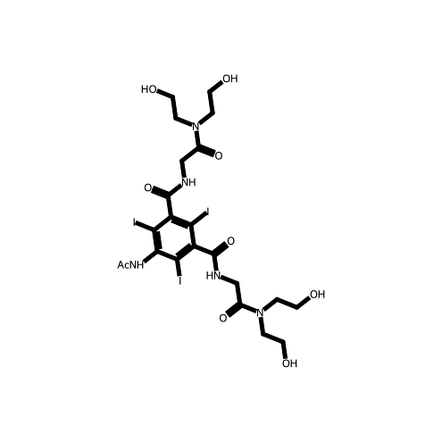 CC(=O)Nc1c(I)c(C(=O)NCC(=O)N(CCO)CCO)c(I)c(C(=O)NCC(=O)N(CCO)CCO)c1I